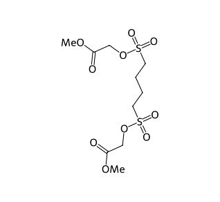 COC(=O)COS(=O)(=O)CCCCS(=O)(=O)OCC(=O)OC